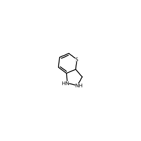 C1=CSC2CNNC2=C1